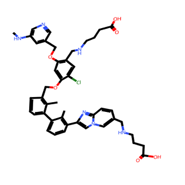 CNc1cncc(COc2cc(OCc3cccc(-c4cccc(-c5cn6cc(CNCCCC(=O)O)ccc6n5)c4C)c3C)c(Cl)cc2CNCCCC(=O)O)c1